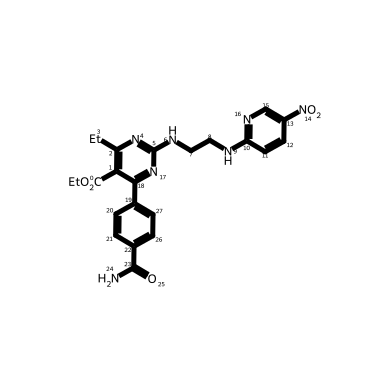 CCOC(=O)c1c(CC)nc(NCCNc2ccc([N+](=O)[O-])cn2)nc1-c1ccc(C(N)=O)cc1